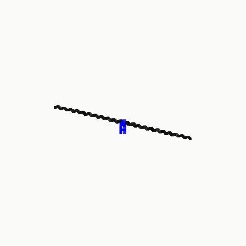 CCCCCCCCCCCCCCCCCC/C=C/C=C/N/C=C/C=C/CCCCCCCCCCCCCCCCCC